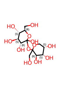 OC[C@H]1OC(O)(OC2(CO)OC[C@H](O)[C@H](O)[C@H]2O)[C@H](O)[C@@H](O)[C@@H]1O